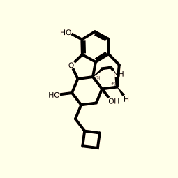 Oc1ccc2c3c1OC1C(O)C(CC4CCC4)CC4(O)[C@@H](C2)NCC[C@]314